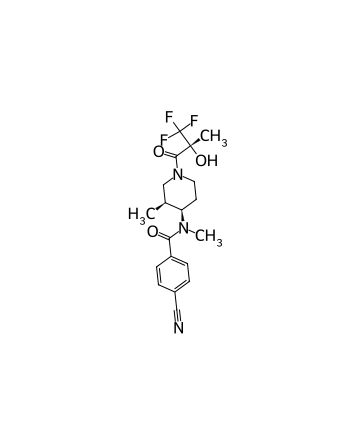 C[C@H]1CN(C(=O)[C@@](C)(O)C(F)(F)F)CC[C@H]1N(C)C(=O)c1ccc(C#N)cc1